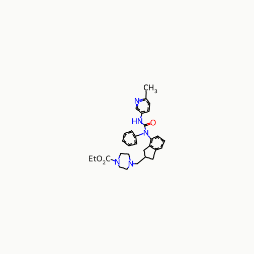 CCOC(=O)N1CCN(CC2Cc3cccc(N(C(=O)Nc4ccc(C)nc4)c4ccccc4)c3C2)CC1